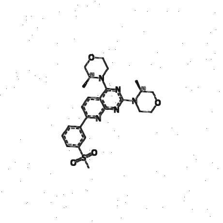 C[C@H]1COCCN1c1nc(N2CCOC[C@@H]2C)c2ccc(-c3cccc(S(C)(=O)=O)c3)nc2n1